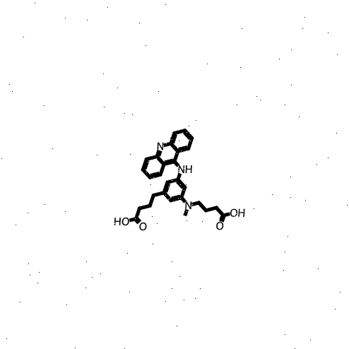 CN(CCCC(=O)O)c1cc(CCCC(=O)O)cc(Nc2c3ccccc3nc3ccccc23)c1